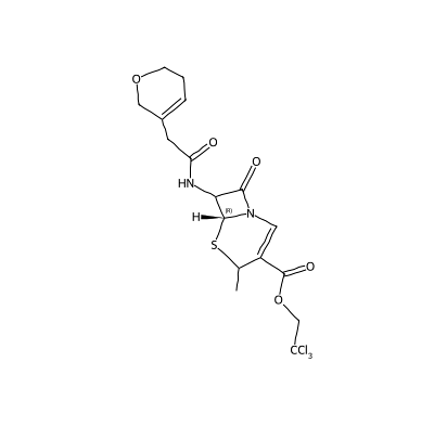 CC1S[C@@H]2C(NC(=O)CC3=CCCOC3)C(=O)N2C=C1C(=O)OCC(Cl)(Cl)Cl